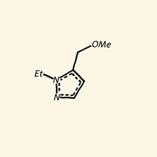 CCn1nccc1COC